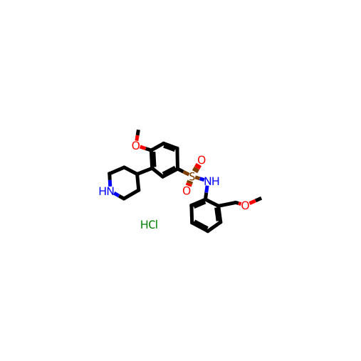 COCc1ccccc1NS(=O)(=O)c1ccc(OC)c(C2CCNCC2)c1.Cl